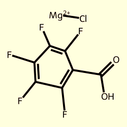 O=C(O)c1c(F)c(F)c(F)c(F)c1F.[Mg+2][Cl]